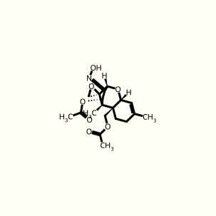 CC(=O)OC[C@]12CCC(C)=C[C@H]1O[C@@H]1/C(=N\O)[C@@H](OC(C)=O)[C@@]2(C)[C@]12CO2